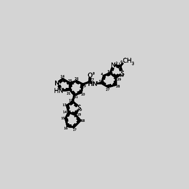 Cc1nc2cc(NC(=O)c3cc(-c4cc5ccccc5s4)c4[nH]ncc4c3)ccc2s1